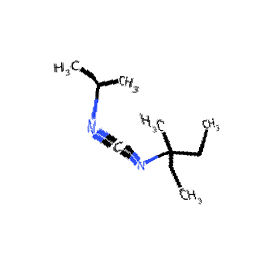 CCC(C)(C)N=C=NC(C)C